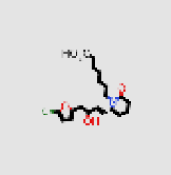 O=C(O)CCCCCCN1C(=O)CCC[C@@H]1/C=C/C(O)Cc1ccc(Cl)o1